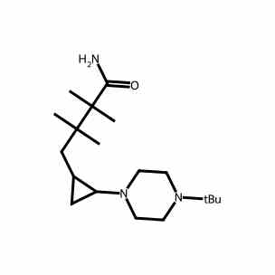 CC(C)(C)N1CCN(C2CC2CC(C)(C)C(C)(C)C(N)=O)CC1